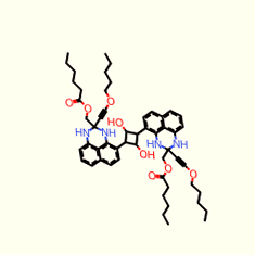 CCCCCOC#CC1(COC(=O)CCCCC)Nc2cccc3ccc(C4C(O)C(c5ccc6cccc7c6c5NC(C#COCCCCC)(COC(=O)CCCCC)N7)C4O)c(c23)N1